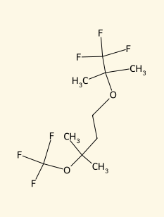 CC(C)(CCOC(C)(C)C(F)(F)F)OC(F)(F)F